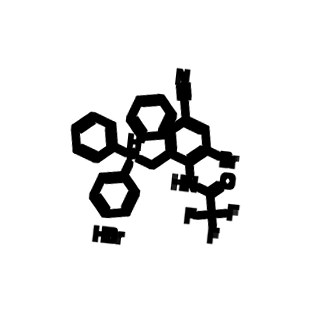 Br.N#Cc1cc(Br)c(NC(=O)C(F)(F)F)c(C[PH](c2ccccc2)(c2ccccc2)c2ccccc2)c1